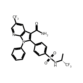 C[C@@H](NS(=O)(=O)c1ccc(-c2c(C(N)=O)c3cc(C(F)(F)F)cnc3n2-c2ccccc2)cc1)C(F)(F)F